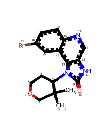 CC1(C)COCCC1n1c(=O)[nH]c2cnc3ccc(Br)cc3c21